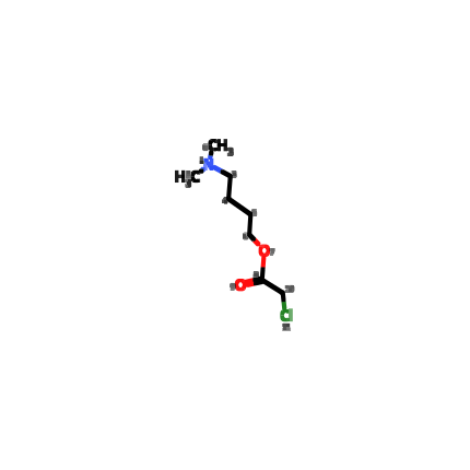 CN(C)CCCCOC(=O)CCl